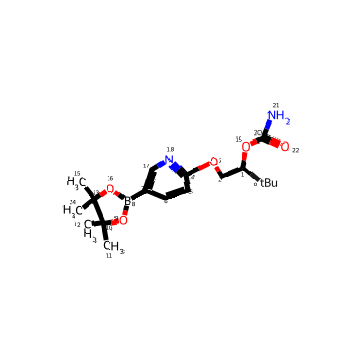 CC(C)(C)C(COc1ccc(B2OC(C)(C)C(C)(C)O2)cn1)OC(N)=O